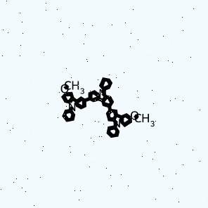 COc1ccc2c(c1)c1cc(-c3ccc4c(c3)c3cc(-c5ccc6c(c5)c5cc(OC)ccc5n6-c5ccccc5)ccc3n4-c3ccccc3)ccc1n2-c1ccccc1